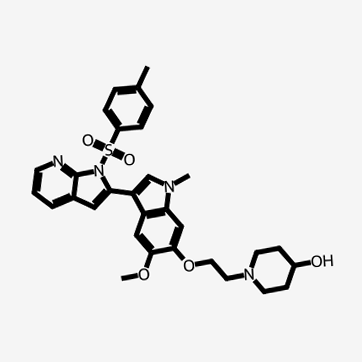 COc1cc2c(-c3cc4cccnc4n3S(=O)(=O)c3ccc(C)cc3)cn(C)c2cc1OCCN1CCC(O)CC1